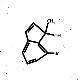 CC1(O)C=Cc2cccc(Br)c21